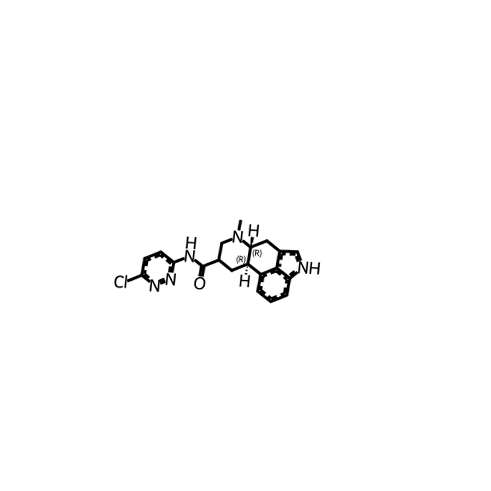 CN1CC(C(=O)Nc2ccc(Cl)nn2)C[C@@H]2c3cccc4[nH]cc(c34)C[C@H]21